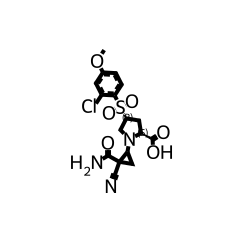 COc1ccc(S(=O)(=O)[C@@H]2C[C@@H](C(=O)O)N(C3CC3(C#N)C(N)=O)C2)c(Cl)c1